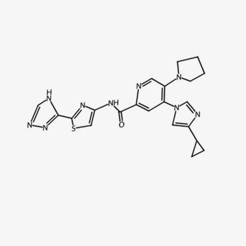 O=C(Nc1csc(-c2nnc[nH]2)n1)c1cc(-n2cnc(C3CC3)c2)c(N2CCCC2)cn1